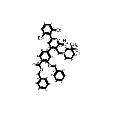 CCc1cccc(CC)c1-c1cc(-c2ccc(C(=O)OCc3ccccc3)c(OCc3ccccc3)c2)c(CN2CCCC(C)(C)C2)c(C)n1